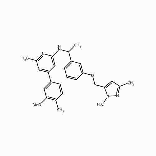 COc1cc(-c2cc(NC(C)c3cccc(OCc4cc(C)nn4C)c3)nc(C)n2)ccc1C